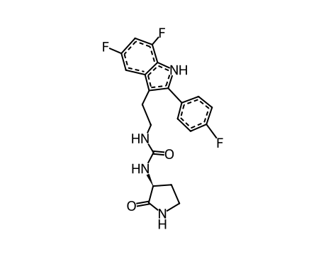 O=C(NCCc1c(-c2ccc(F)cc2)[nH]c2c(F)cc(F)cc12)N[C@H]1CCNC1=O